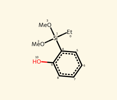 CC[Si](OC)(OC)c1ccccc1O